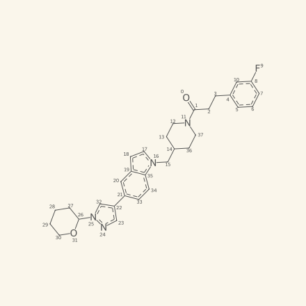 O=C(CCc1cccc(F)c1)N1CCC(Cn2ccc3cc(-c4cnn(C5CCCCO5)c4)ccc32)CC1